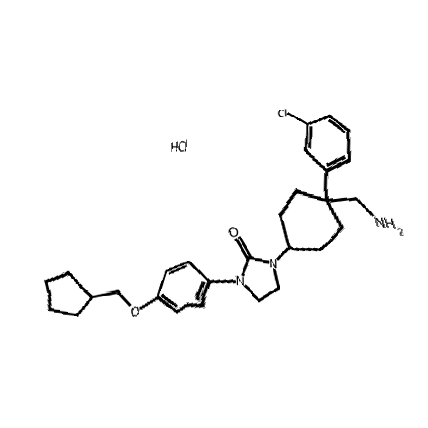 Cl.NCC1(c2cccc(Cl)c2)CCC(N2CCN(c3ccc(OCC4CCCC4)cc3)C2=O)CC1